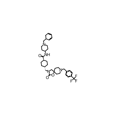 O=C1OC2(CCN(Cc3ccc(C(F)(F)F)cc3)CC2)CN1C[C@H]1CC[C@H](C(=O)NC2CCN(CC3C=CC=CC3)CC2)CC1